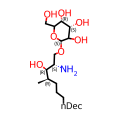 CCCCCCCCCCCCC[C@@H](C)[C@@H](O)[C@@H](N)CO[C@H]1OC(CO)[C@H](O)[C@H](O)C1O